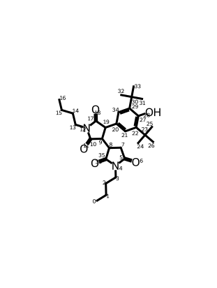 CCCCN1C(=O)CC(C2C(=O)N(CCCC)C(=O)C2c2cc(C(C)(C)C)c(O)c(C(C)(C)C)c2)C1=O